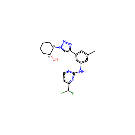 Cc1cc(Nc2nccc(C(F)F)n2)cc(-c2cn([C@@H]3CCCC[C@H]3O)nn2)c1